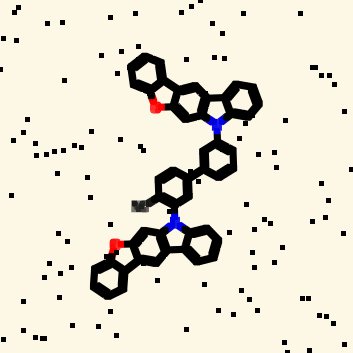 N#Cc1ccc(-c2cccc(-n3c4ccccc4c4cc5c(cc43)oc3ccccc35)c2)cc1-n1c2ccccc2c2cc3c(cc21)oc1ccccc13